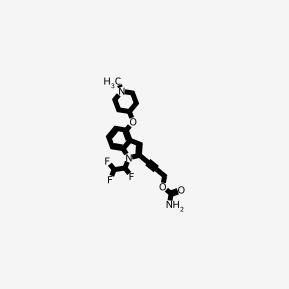 CN1CCC(Oc2cccc3c2cc(C#CCOC(N)=O)n3C(F)C(F)F)CC1